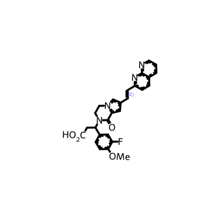 COc1ccc(C(CC(=O)O)N2CCn3cc(/C=C/c4ccc5cccnc5n4)cc3C2=O)cc1F